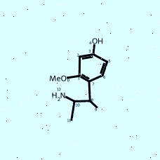 COc1cc(O)ccc1C(C)C(C)N